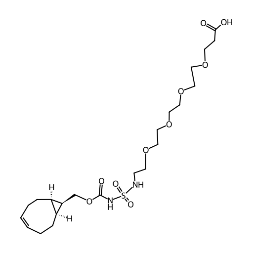 O=C(O)CCOCCOCCOCCOCCNS(=O)(=O)NC(=O)OC[C@@H]1[C@@H]2CC/C=C\CC[C@@H]21